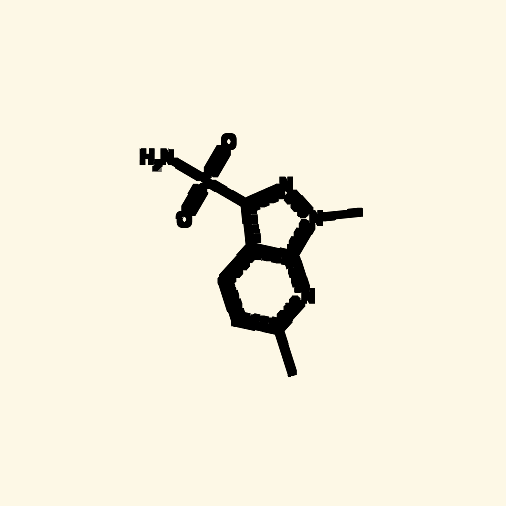 Cc1ccc2c(S(N)(=O)=O)nn(C)c2n1